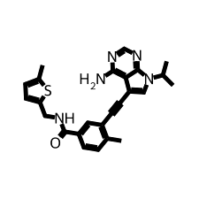 Cc1ccc(CNC(=O)c2ccc(C)c(C#Cc3cn(C(C)C)c4ncnc(N)c34)c2)s1